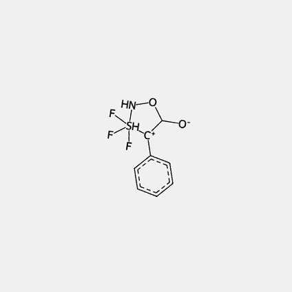 [O-]C1ON[SH](F)(F)(F)[C+]1c1ccccc1